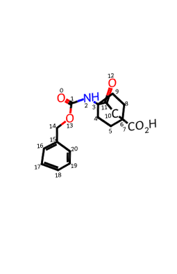 O=C(NC12CCC(C(=O)O)(CC1)CC2=O)OCc1ccccc1